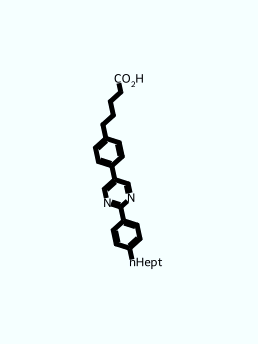 CCCCCCCc1ccc(-c2ncc(-c3ccc(CCCCC(=O)O)cc3)cn2)cc1